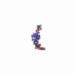 CCc1c(NCOCC[Si](C)(C)C)ncnc1N[C@H]1CC[C@H](N(C)C(=O)OC(C)(C)C)CC1